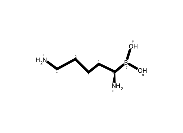 NCCCC[C@H](N)B(O)O